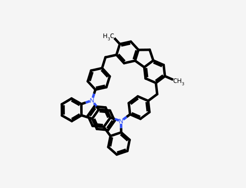 Cc1cc2c(cc1Cc1ccc(-n3c4ccccc4c4ccccc43)cc1)-c1cc(Cc3ccc(-n4c5ccccc5c5ccccc54)cc3)c(C)cc1C2